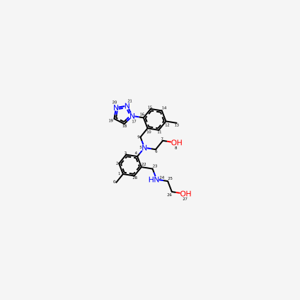 Cc1ccc(N(CCO)Cc2cc(C)ccc2-n2ccnn2)c(CNCCO)c1